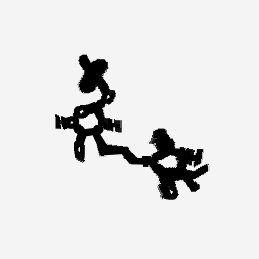 CC(C)(C)OC(=O)N[C@@H](CCCN1C(=O)C(C)(C)NC1=S)C(=O)O